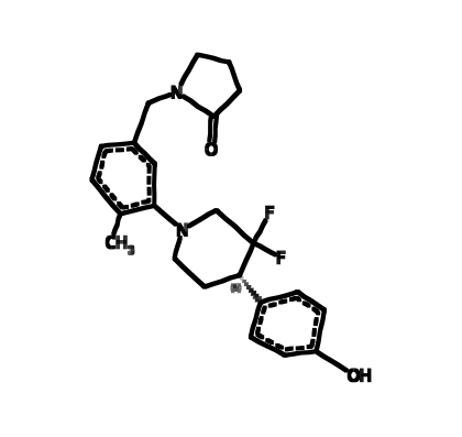 Cc1ccc(CN2CCCC2=O)cc1N1CC[C@@H](c2ccc(O)cc2)C(F)(F)C1